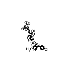 Cc1ncc2c(c1OC(=O)O[C@H]1CO[C@H]3[C@H]1OC[C@@H]3C(CCC(CO[N+](=O)[O-])O[N+](=O)[O-])C(=O)O)CO[C@H]2c1ccc(Cl)cc1